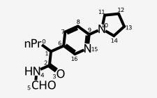 CCCC(C(=O)NC=O)c1ccc(N2CCCC2)nc1